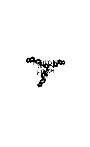 O=C(Nc1ccc(-c2ccc3c(c2)CCC3)nc1)C1CC(C(=O)Nc2ccc(-c3ccc4c(c3)CCC4)nc2)CC(C(=O)Nc2ccc(-c3ccc4c(c3)CCC4)nc2)C1